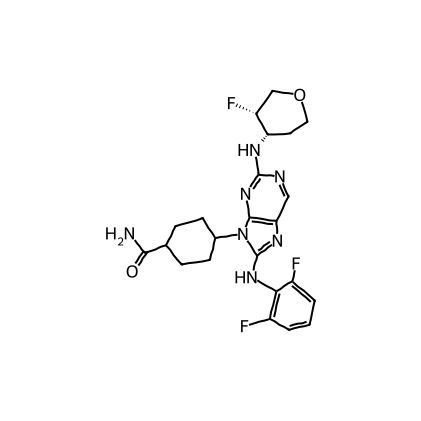 NC(=O)C1CCC(n2c(Nc3c(F)cccc3F)nc3cnc(N[C@H]4CCOC[C@H]4F)nc32)CC1